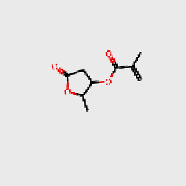 C=C(C)C(=O)OC1CC(=O)OC1C